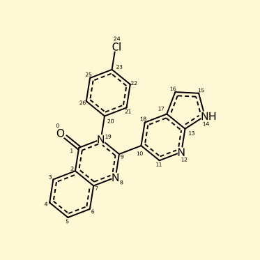 O=c1c2ccccc2nc(-c2cnc3[nH]ccc3c2)n1-c1ccc(Cl)cc1